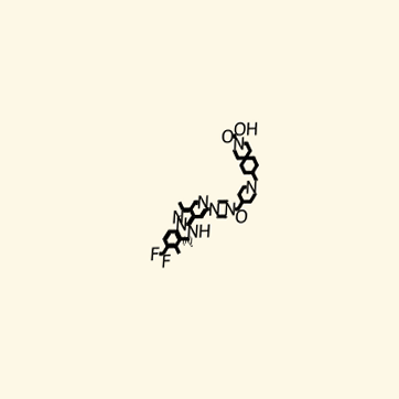 Cc1c(C(F)F)cccc1[C@@H](C)Nc1nnc(C)c2cnc(N3CCN(C(=O)C4CCN(CC5CCC6(CC5)CCN(C(=O)O)CC6)CC4)CC3)cc12